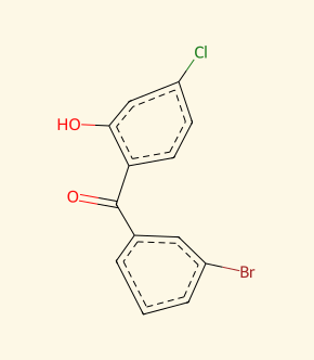 O=C(c1cccc(Br)c1)c1ccc(Cl)cc1O